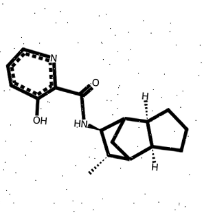 C[C@H]1C2CC([C@H]3CCC[C@@H]23)[C@@H]1NC(=O)c1ncccc1O